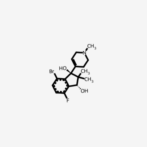 CN1CC=C([C@@]2(O)c3c(Br)ccc(F)c3[C@@H](O)C2(C)C)CC1